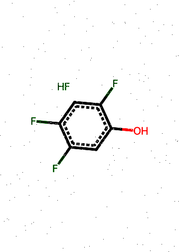 F.Oc1cc(F)c(F)cc1F